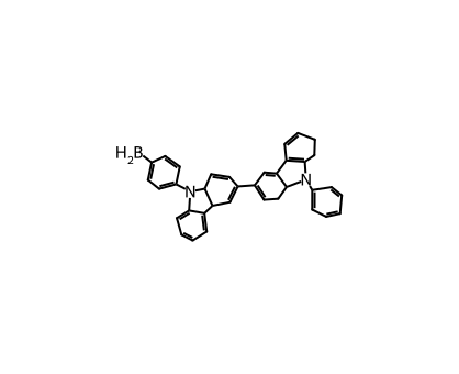 Bc1ccc(N2c3ccccc3C3C=C(C4=CCC5C(=C4)C4=C(CCC=C4)N5c4ccccc4)C=CC32)cc1